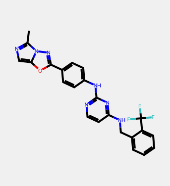 Cc1ncc2oc(-c3ccc(Nc4nccc(NCc5ccccc5C(F)(F)F)n4)cc3)nn12